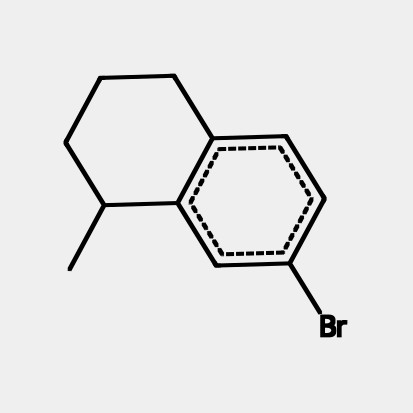 CC1CCCc2ccc(Br)cc21